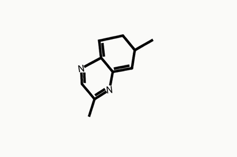 Cc1cnc2c(n1)=CC(C)CC=2